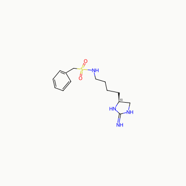 N=C1NC[C@H](CCCCNS(=O)(=O)Cc2ccccc2)N1